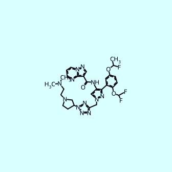 CC(F)Oc1ccc(OC(F)F)c(-c2nn(Cc3nnn(C4CCN(CCN(C)C)C4)n3)cc2NC(=O)c2cnn3cccnc23)c1